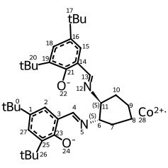 CC(C)(C)c1cc(C=N[C@H]2CCCC[C@@H]2N=Cc2cc(C(C)(C)C)cc(C(C)(C)C)c2[O-])c([O-])c(C(C)(C)C)c1.[Co+2]